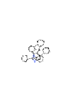 c1ccc(-c2nc3ccccc3n2-c2cccc3c2C2(c4ccccc4-c4ccccc42)c2ccccc2-3)cc1